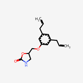 C=CCc1cc(CC=C)cc(OCC2CNC(=O)O2)c1